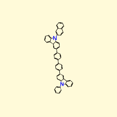 c1ccc(-n2c3ccccc3c3cc(-c4ccc(-c5ccc(-c6ccc7c(c6)c6ccccc6n7-c6ccc7ccccc7c6)cc5)cc4)ccc32)cc1